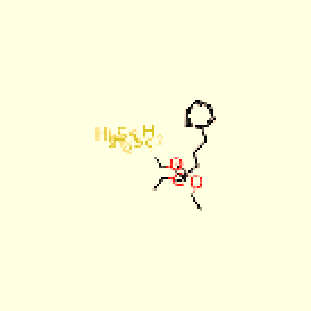 CCO[Si](CCCc1ccccc1)(OCC)OCC.S.S.S.S